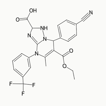 CCOC(=O)C1=C(C)N(c2cccc(C(F)(F)F)c2)C2=NC(C(=O)O)NN2C1c1ccc(C#N)cc1